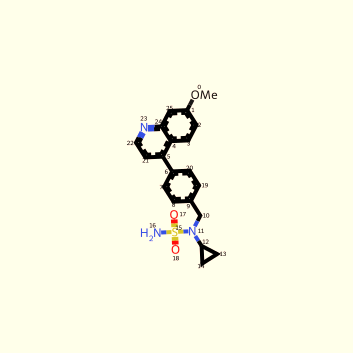 COc1ccc2c(-c3ccc(CN(C4CC4)S(N)(=O)=O)cc3)ccnc2c1